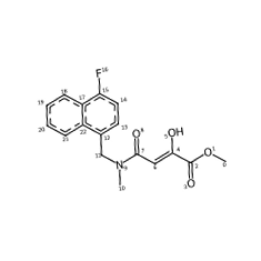 COC(=O)C(O)=CC(=O)N(C)Cc1ccc(F)c2ccccc12